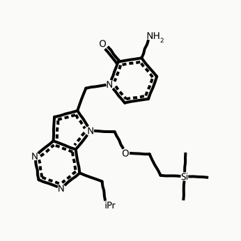 CC(C)Cc1ncnc2cc(Cn3cccc(N)c3=O)n(COCC[Si](C)(C)C)c12